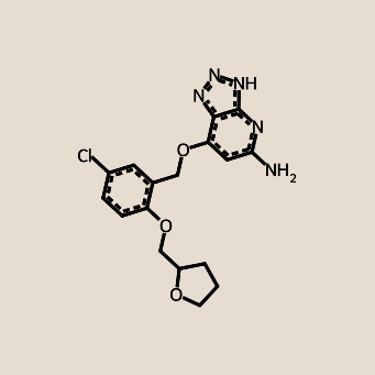 Nc1cc(OCc2cc(Cl)ccc2OCC2CCCO2)c2nn[nH]c2n1